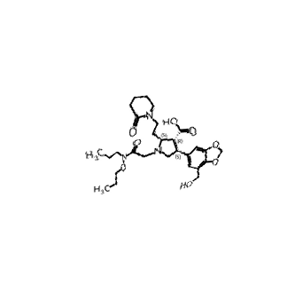 CCCON(CCC)C(=O)CN1C[C@H](c2cc(CO)c3c(c2)OCO3)[C@@H](C(=O)O)[C@@H]1CCN1CCCCC1=O